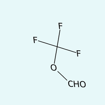 O=COC(F)(F)F